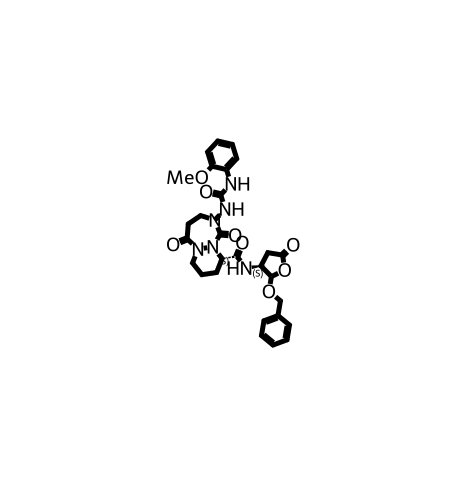 COc1ccccc1NC(=O)NN1CCC(=O)N2CCC[C@@H](C(=O)N[C@H]3CC(=O)OC3OCc3ccccc3)N2C1=O